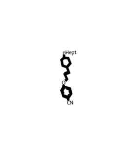 CCCCCCCC1CCC(/C=C/COc2ccc(C#N)cc2)CC1